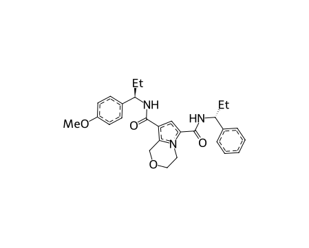 CC[C@@H](NC(=O)c1cc(C(=O)N[C@H](CC)c2ccccc2)n2c1COCC2)c1ccc(OC)cc1